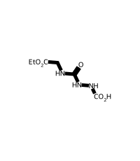 CCOC(=O)CNC(=O)NNC(=O)O